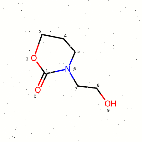 O=C1OCCCN1CCO